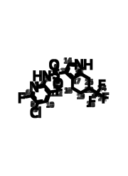 O=S(=O)(Nc1nc(F)c(Cl)cc1F)c1c[nH]c2c1CCC(C(F)(F)F)C2